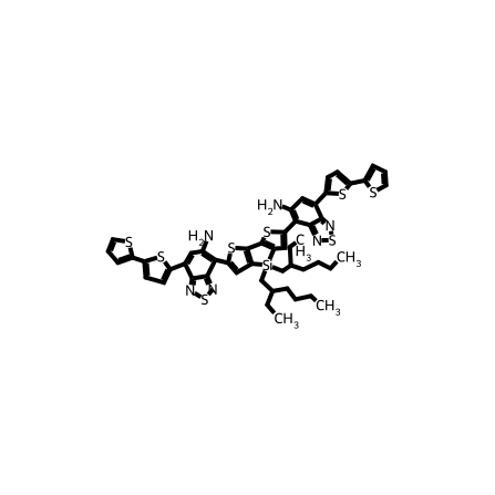 CCCCC(CC)C[Si]1(CC(CC)CCCC)c2cc(-c3c(N)cc(-c4ccc(-c5cccs5)s4)c4nsnc34)sc2-c2sc(-c3c(N)cc(-c4ccc(-c5cccs5)s4)c4nsnc34)cc21